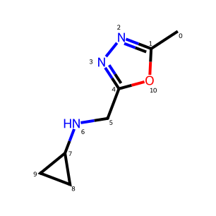 Cc1nnc(CNC2CC2)o1